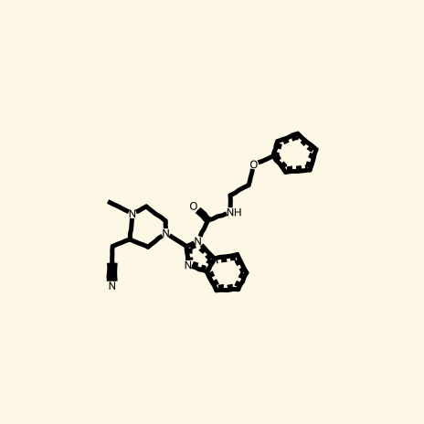 CN1CCN(c2nc3ccccc3n2C(=O)NCCOc2ccccc2)CC1CC#N